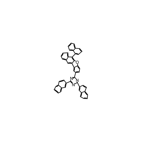 c1ccc2cc(-c3nc(-c4ccc5ccccc5c4)nc(-c4ccc5oc6c(-c7cccc8ccccc78)c7ccccc7cc6c5c4)n3)ccc2c1